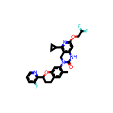 Cc1cc2c(cc1N1Cc3c(cc(OCC(F)F)nc3C3CC3)NC1=O)OC(c1ncccc1F)CC2